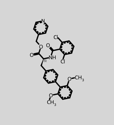 COc1cccc(OC)c1-c1ccc(C[C@H](NC(=O)c2c(Cl)cccc2Cl)C(=O)OCc2ccncc2)cc1